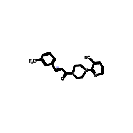 N#Cc1cccnc1N1CCN(C(=O)/C=C/c2cccc(C(F)(F)F)c2)CC1